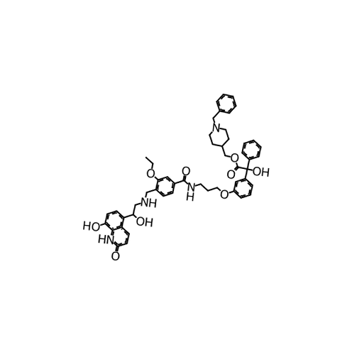 CCOc1cc(C(=O)NCCCOc2cccc(C(O)(C(=O)OCC3CCN(Cc4ccccc4)CC3)c3ccccc3)c2)ccc1CNCC(O)c1ccc(O)c2[nH]c(=O)ccc12